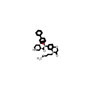 COCCCN1C(=O)COc2ccc(N(C(=O)[C@H]3CNCC[C@@H]3c3cccc(-c4ccccc4)c3)C3CC3)cc21